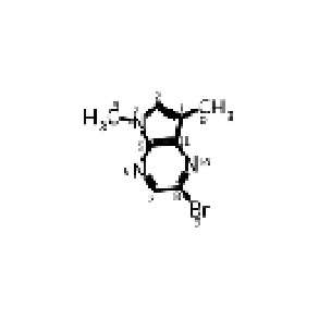 Cc1cn(C)c2ncc(Br)nc12